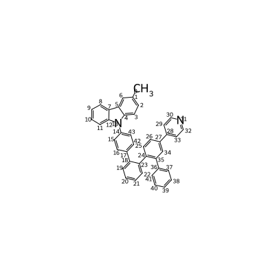 Cc1ccc2c(c1)c1ccccc1n2-c1ccc(-c2ccccc2-c2ccc(-c3ccncc3)cc2-c2ccccc2)cc1